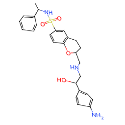 CC(NS(=O)(=O)c1ccc2c(c1)CCC(CNCC(O)c1ccc(N)cc1)O2)c1ccccc1